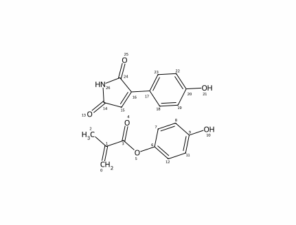 C=C(C)C(=O)Oc1ccc(O)cc1.O=C1C=C(c2ccc(O)cc2)C(=O)N1